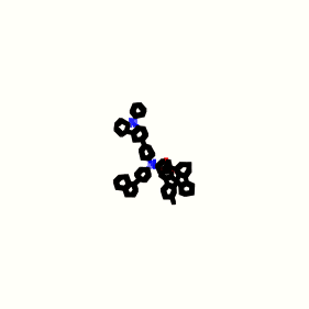 Cc1ccc2c(c1)C1(c3cc(C)ccc3-2)c2ccccc2-c2cccc(-c3ccc(N(c4ccc(-c5ccc6c(c5)C5C=CC=CC5N6c5ccccc5)cc4)c4ccc(-c5cccc6ccccc56)cc4)cc3)c21